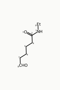 CCNC(=O)CCCCC=O